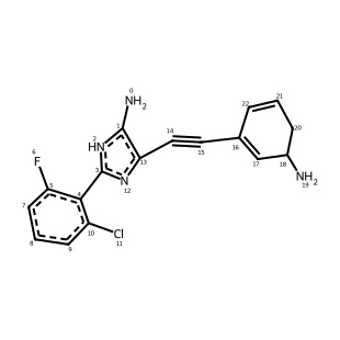 Nc1[nH]c(-c2c(F)cccc2Cl)nc1C#CC1=CC(N)CC=C1